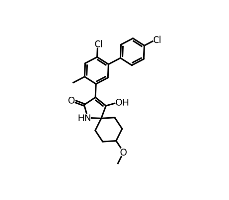 COC1CCC2(CC1)NC(=O)C(c1cc(-c3ccc(Cl)cc3)c(Cl)cc1C)=C2O